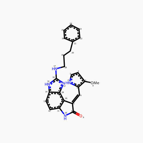 COc1cc[nH]c1/C=C1/C(=O)Nc2ccc3[nH]c(NCCCc4ccccc4)nc3c21